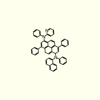 C1=C(c2ccccc2)c2ccc3c(N(c4ccccc4)c4ccccn4)cc(-c4ccccc4)c4c3c2C(=CC4)C1N(c1ccccc1)c1cccc2ccccc12